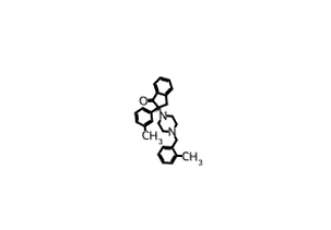 Cc1cccc([C@]2(N3CCN(Cc4ccccc4C)CC3)Cc3ccccc3C2=O)c1